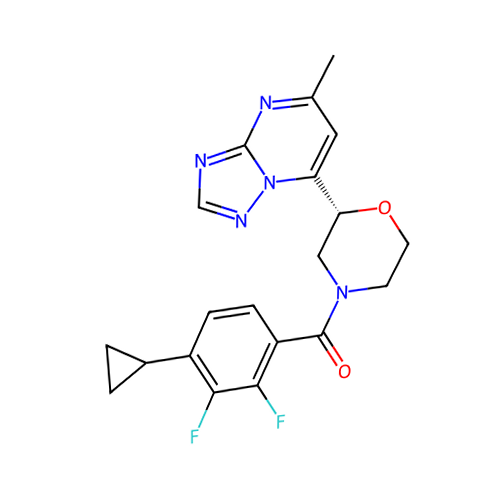 Cc1cc([C@H]2CN(C(=O)c3ccc(C4CC4)c(F)c3F)CCO2)n2ncnc2n1